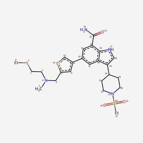 CCSCCN(C)Cc1cc(-c2cc(C(N)=O)c3[nH]cc(C4CCN(S(=O)(=O)CC)CC4)c3c2)cs1